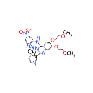 CNc1ccc([N+](=O)[O-])cc1Nc1nc(-c2cccnc2)nc2cc(OCCOC)c(OCCOC)cc12